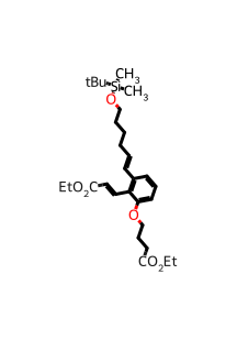 CCOC(=O)C=Cc1c(C=CCCCCO[Si](C)(C)C(C)(C)C)cccc1OCCCC(=O)OCC